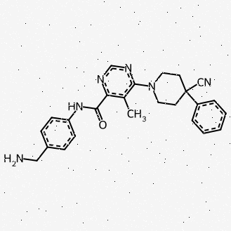 Cc1c(C(=O)Nc2ccc(CN)cc2)ncnc1N1CCC(C#N)(c2ccccc2)CC1